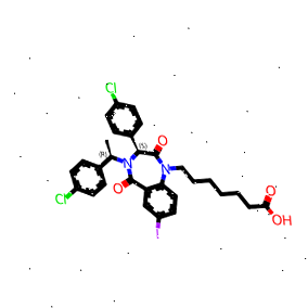 C[C@H](c1ccc(Cl)cc1)N1C(=O)c2cc(I)ccc2N(CCCCCCC(=O)O)C(=O)[C@@H]1c1ccc(Cl)cc1